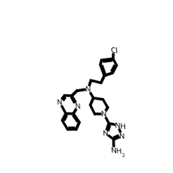 Nc1n[nH]c(N2CCC(N(CCc3ccc(Cl)cc3)Cc3cnc4ccccc4n3)CC2)n1